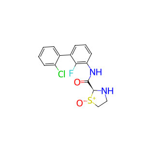 O=C(Nc1cccc(-c2ccccc2Cl)c1F)[C@H]1NCC[S+]1[O-]